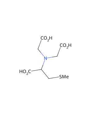 CSCC(C(=O)O)N(CC(=O)O)CC(=O)O